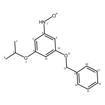 CC(C)Oc1cc(NCl)cc(OCc2ccccc2)c1